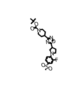 CC(C)(C)OC(=O)N1CCC(c2noc(C3CCN(c4ccc(S(C)(=O)=O)cc4F)C3)n2)CC1